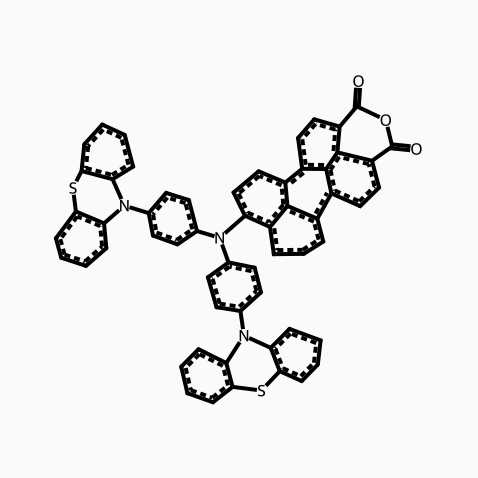 O=C1OC(=O)c2ccc3c4ccc(N(c5ccc(N6c7ccccc7Sc7ccccc76)cc5)c5ccc(N6c7ccccc7Sc7ccccc76)cc5)c5cccc(c6ccc1c2c63)c54